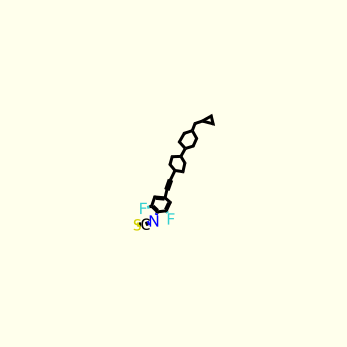 Fc1cc(C#CC2CCC(C3CCC(CC4CC4)CC3)CC2)cc(F)c1N=C=S